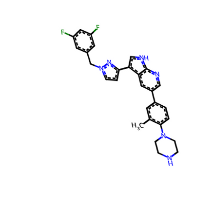 Cc1cc(-c2cnc3[nH]cc(-c4ccn(Cc5cc(F)cc(F)c5)n4)c3c2)ccc1N1CCNCC1